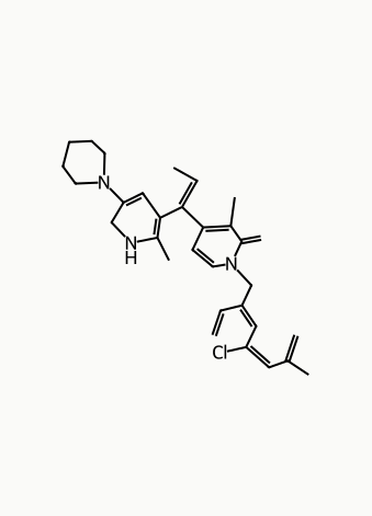 C=C/C(=C\C(Cl)=C/C(=C)C)CN1C=CC(/C(=C/C)C2=C(C)NCC(N3CCCCC3)=C2)=C(C)C1=C